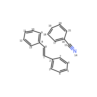 C(=Cc1ccccc1)c1ccccc1.N#Cc1ccccc1